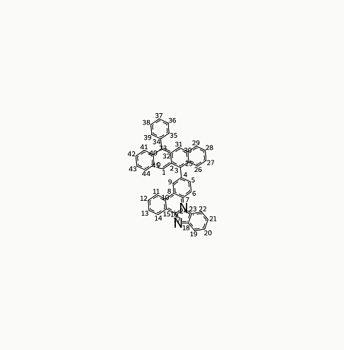 C/C=c1/c(-c2ccc3c(c2)c2ccccc2c2nc4ccccc4n32)c2ccccc2cc1=C(c1ccccc1)c1ccccc1